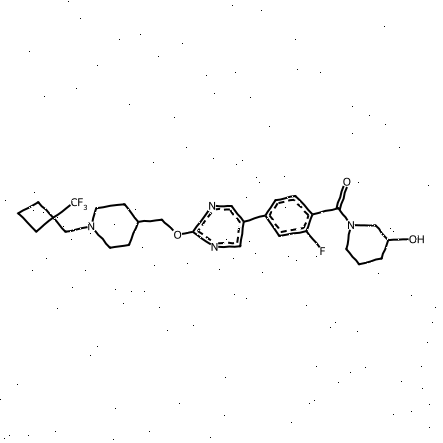 O=C(c1ccc(-c2cnc(OCC3CCN(CC4(C(F)(F)F)CCC4)CC3)nc2)cc1F)N1CCCC(O)C1